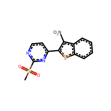 CS(=O)(=O)c1nccc(-c2sc3ccccc3c2[N+](=O)[O-])n1